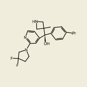 CC(C)c1ccc([C@](O)(c2ccnc(N3CCC(F)(F)C3)c2)C2(C)CNC2)cc1